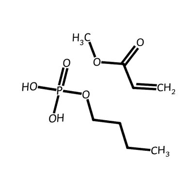 C=CC(=O)OC.CCCCOP(=O)(O)O